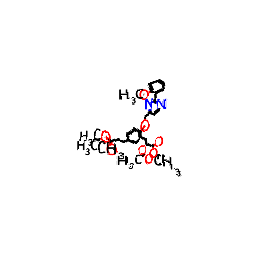 CCOC(=O)C(Cc1cc(CCC(=O)OC(C)(C)C)ccc1OCc1ccnc(-c2ccccc2OC)n1)OC(C)=O